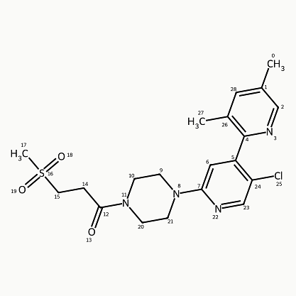 Cc1cnc(-c2cc(N3CCN(C(=O)CCS(C)(=O)=O)CC3)ncc2Cl)c(C)c1